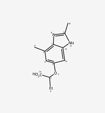 CCC(Oc1cc(C)c2nc(C)[nH]c2c1)C(=O)O